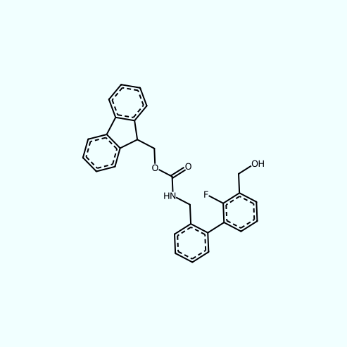 O=C(NCc1ccccc1-c1cccc(CO)c1F)OCC1c2ccccc2-c2ccccc21